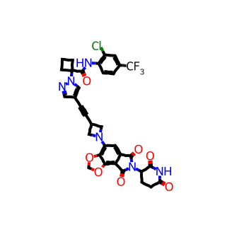 O=C1CCC(N2C(=O)c3cc(N4CC(C#Cc5cnn(C6(C(=O)Nc7ccc(C(F)(F)F)cc7Cl)CCC6)c5)C4)c4c(c3C2=O)OCO4)C(=O)N1